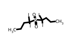 CCCC(I)(I)S(=O)(=O)C(I)(I)CCC